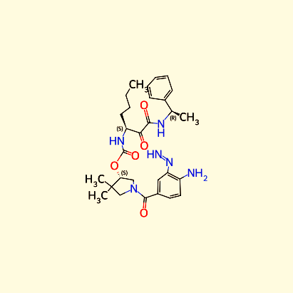 CCCC[C@H](NC(=O)O[C@@H]1CN(C(=O)c2ccc(N)c(N=N)c2)CC1(C)C)C(=O)C(=O)N[C@H](C)c1ccccc1